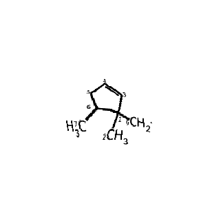 [CH2]C1(C)C=CCC1C